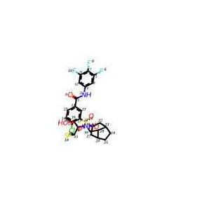 O=C(Nc1cc(F)c(F)c(F)c1)c1ccc(Cl)c(S(=O)(=O)[C@H]2CC3CCC(C2)[C@]3(O)CNC(C=S)CO)c1